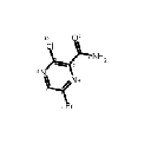 NC(=O)c1nc(Br)cnc1Cl